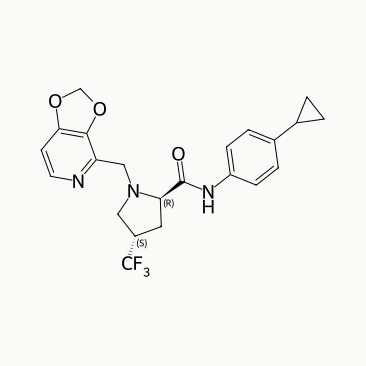 O=C(Nc1ccc(C2CC2)cc1)[C@H]1C[C@H](C(F)(F)F)CN1Cc1nccc2c1OCO2